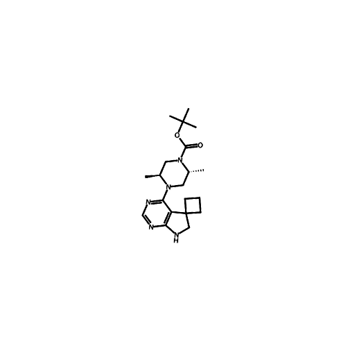 C[C@@H]1CN(c2ncnc3c2C2(CCC2)CN3)[C@@H](C)CN1C(=O)OC(C)(C)C